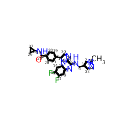 Cn1cc(CNc2nc3cc(F)c(F)cc3n3c(-c4ccc(C(=O)NC5CC5)cc4)cnc23)cn1